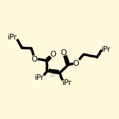 CC(C)CCOC(=O)/C(=C(\C(=O)OCCC(C)C)C(C)C)C(C)C